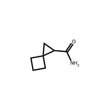 NC(=O)C1CC12CCC2